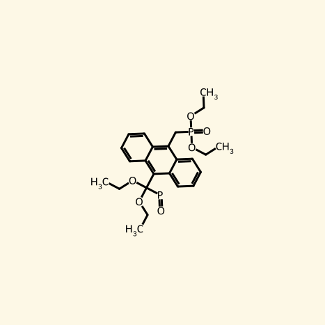 CCOC(OCC)(P=O)c1c2ccccc2c(CP(=O)(OCC)OCC)c2ccccc12